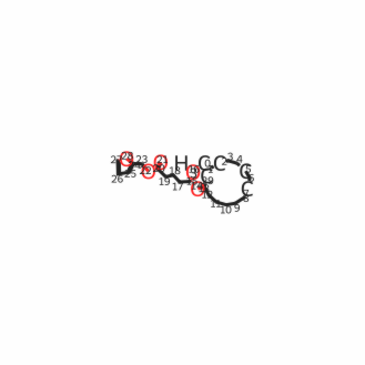 CC1CCCCCCCCCCCC(OC(=O)CCCC(=O)OCc2ccco2)C1